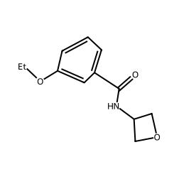 CCOc1cccc(C(=O)NC2COC2)c1